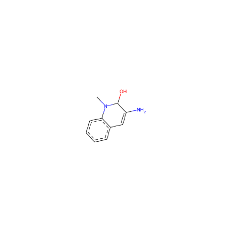 CN1c2ccccc2C=C(N)C1O